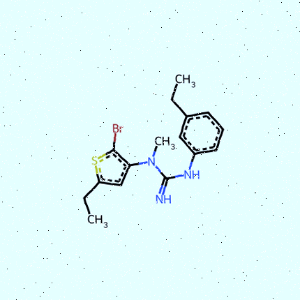 CCc1cccc(NC(=N)N(C)c2cc(CC)sc2Br)c1